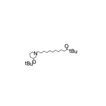 CC(C)(C)OC1CCCN(CCCCCCCCCCC(=O)C(C)(C)C)C1